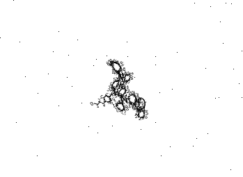 CCCCc1ccc(N2c3cc(N(c4ccccc4)c4ccc5oc6ccccc6c5c4)ccc3B3c4ccccc4N(c4ccccc4)c4cccc2c43)cc1